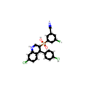 N#Cc1cc(F)cc(S(=O)(=O)c2cnc3cc(Cl)ccc3c2-c2ccc(Cl)cc2)c1